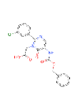 O=C(O)Cn1c(-c2cccc(Cl)c2)ncc(NC(=O)OCc2ccccc2)c1=O